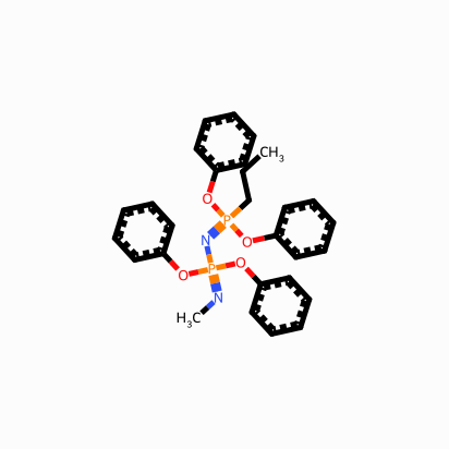 CCCP(=NP(=NC)(Oc1ccccc1)Oc1ccccc1)(Oc1ccccc1)Oc1ccccc1